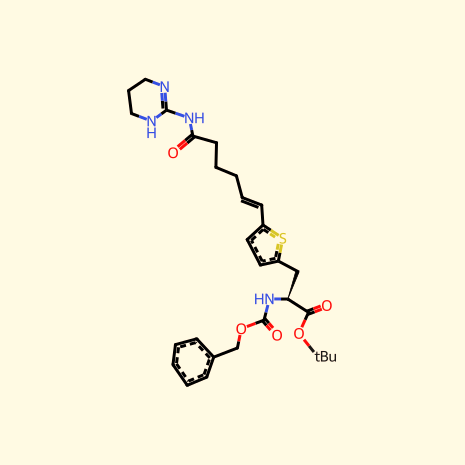 CC(C)(C)OC(=O)[C@H](Cc1ccc(C=CCCCC(=O)NC2=NCCCN2)s1)NC(=O)OCc1ccccc1